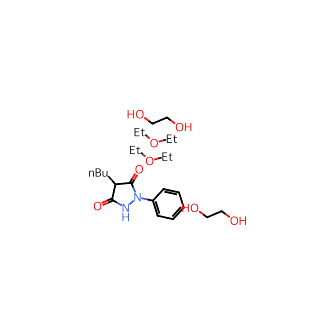 CCCCC1C(=O)NN(c2ccccc2)C1=O.CCOCC.CCOCC.OCCO.OCCO